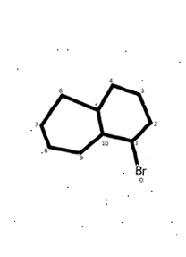 BrC1CCCC2CCCCC12